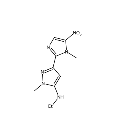 CCNc1cc(-c2ncc([N+](=O)[O-])n2C)nn1C